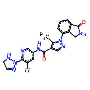 O=C1NCc2c1cccc2-n1ncc(C(=O)Nc2cnc(N3N=CCN3)c(Cl)c2)c1C(F)(F)F